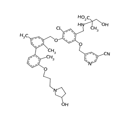 Cc1cc(COc2cc(OCc3cncc(C#N)c3)c(CNC(C)(CO)C(=O)O)cc2Cl)c(C)c(-c2cccc(OCCCN3CCC(O)C3)c2C)c1